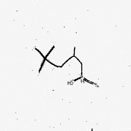 CC(C[PH](=S)S)CC(C)(C)C